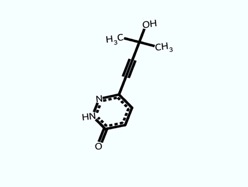 CC(C)(O)C#Cc1ccc(=O)[nH]n1